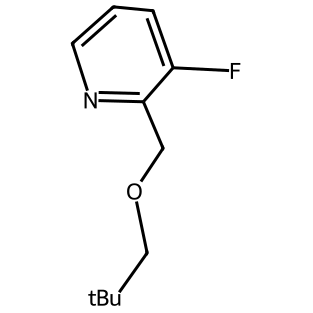 CC(C)(C)COCc1ncccc1F